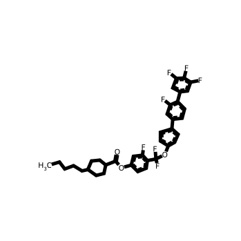 CCCCCC1CCC(C(=O)Oc2ccc(C(F)(F)Oc3ccc(-c4ccc(-c5cc(F)c(F)c(F)c5)c(F)c4)cc3)c(F)c2)CC1